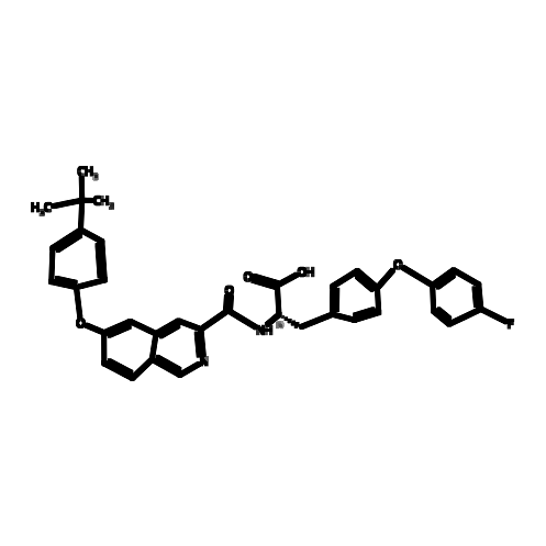 CC(C)(C)c1ccc(Oc2ccc3cnc(C(=O)N[C@@H](Cc4ccc(Oc5ccc(F)cc5)cc4)C(=O)O)cc3c2)cc1